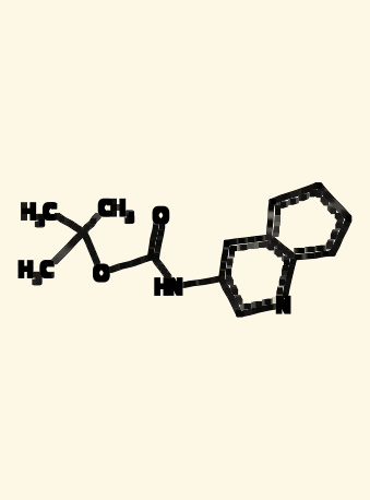 CC(C)(C)OC(=O)Nc1cnc2ccccc2c1